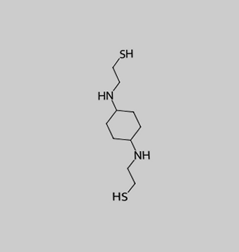 SCCNC1CCC(NCCS)CC1